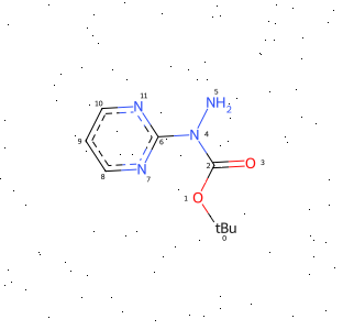 CC(C)(C)OC(=O)N(N)c1ncccn1